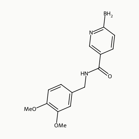 Bc1ccc(C(=O)NCc2ccc(OC)c(OC)c2)cn1